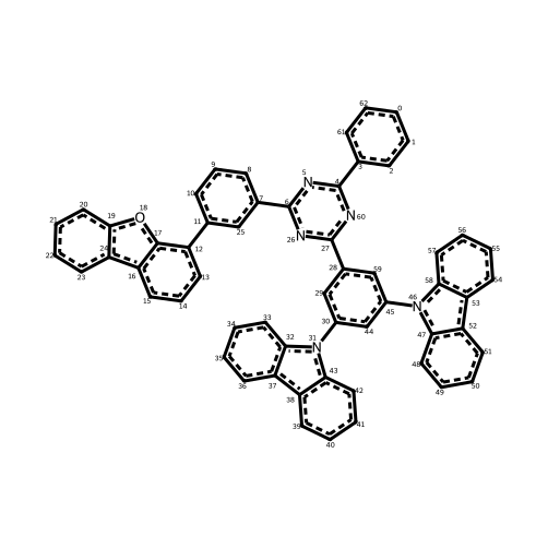 c1ccc(-c2nc(-c3cccc(-c4cccc5c4oc4ccccc45)c3)nc(-c3cc(-n4c5ccccc5c5ccccc54)cc(-n4c5ccccc5c5ccccc54)c3)n2)cc1